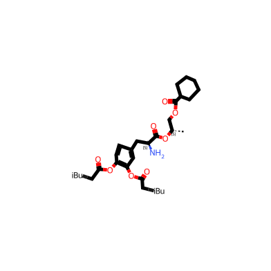 CCC(C)CC(=O)Oc1ccc(C[C@H](N)C(=O)O[C@@H](C)COC(=O)C2CCCCC2)cc1OC(=O)CC(C)CC